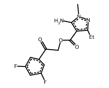 CCc1nn(C)c(N)c1C(=O)OCC(=O)c1cc(F)cc(F)c1